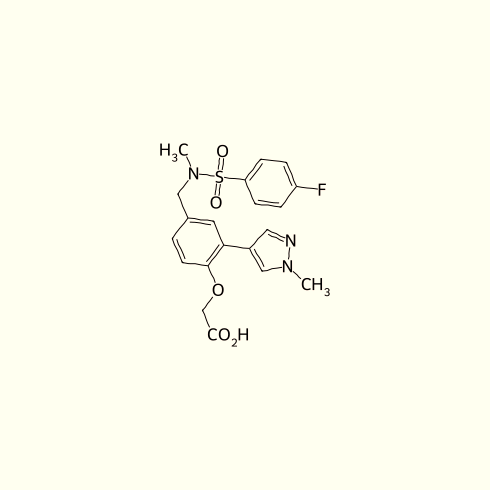 CN(Cc1ccc(OCC(=O)O)c(-c2cnn(C)c2)c1)S(=O)(=O)c1ccc(F)cc1